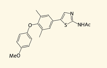 COc1ccc(Oc2c(C)cc(-c3cnc(NC(C)=O)s3)cc2C)cc1